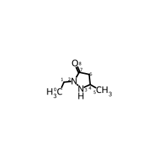 CCN1NC(C)CC1=O